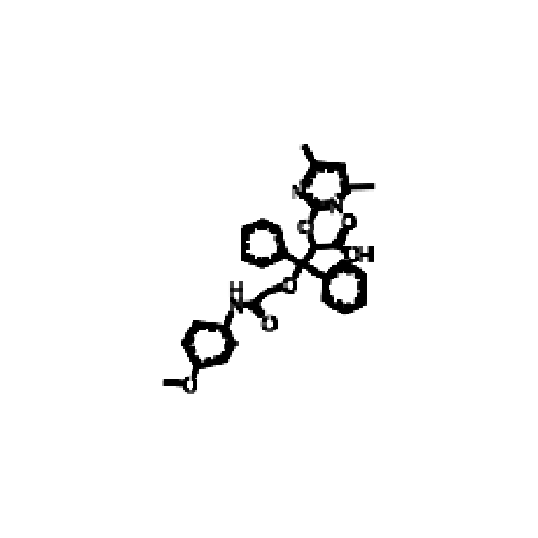 COc1ccc(NC(=O)COC(c2ccccc2)(c2ccccc2)C(Oc2nc(C)cc(C)n2)C(=O)O)cc1